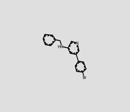 Brc1ccc(-c2cncc(NCc3ccccc3)c2)cc1